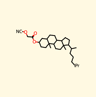 CC(C)CCCC(C)C1CCC2C3CCC4CC(OC(=O)COC#N)CCC4(C)C3CCC12C